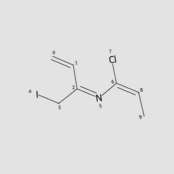 C=C/C(CI)=N\C(Cl)=C/C